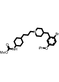 COC(=O)NC1CCC(CCCN2CCC(Cc3cc(OC(C)C)ccc3Br)CC2)CC1